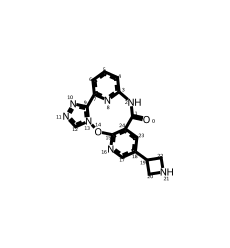 O=C1Nc2cccc(n2)-c2nncn2Oc2ncc(C3CNC3)cc21